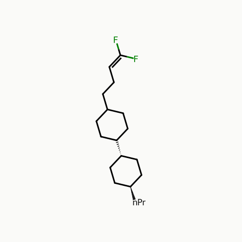 CCC[C@H]1CC[C@H](C2CCC(CCC=C(F)F)CC2)CC1